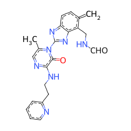 C=c1ccc2c(c1CNC=O)N=C(n1c(C)cnc(NCCc3ccccn3)c1=O)N=2